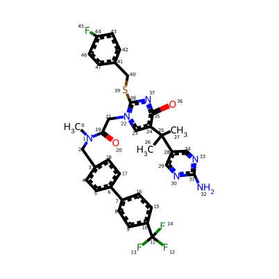 CN(Cc1ccc(-c2ccc(C(F)(F)F)cc2)cc1)C(=O)Cn1cc(C(C)(C)c2cnc(N)nc2)c(=O)nc1SCc1ccc(F)cc1